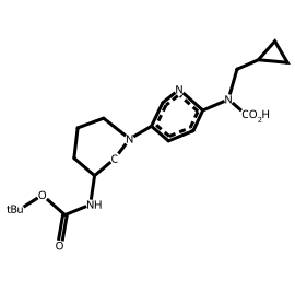 CC(C)(C)OC(=O)NC1CCCN(c2ccc(N(CC3CC3)C(=O)O)nc2)C1